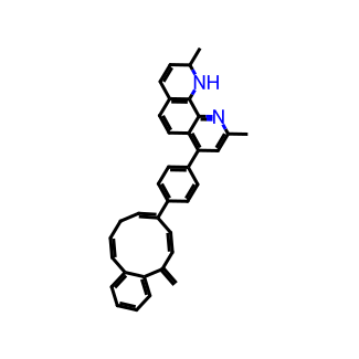 C=C1/C=C\C(c2ccc(-c3cc(C)nc4c5c(ccc34)C=CC(C)N5)cc2)=C/C/C=C\c2ccccc21